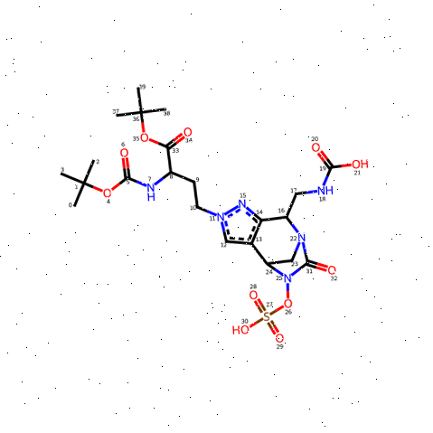 CC(C)(C)OC(=O)NC(CCn1cc2c(n1)C(CNC(=O)O)N1CC2N(OS(=O)(=O)O)C1=O)C(=O)OC(C)(C)C